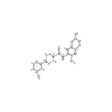 COc1nc2ccc(Cl)cc2nc1NC(=O)N1CCN(c2cccc(Cl)c2)CC1